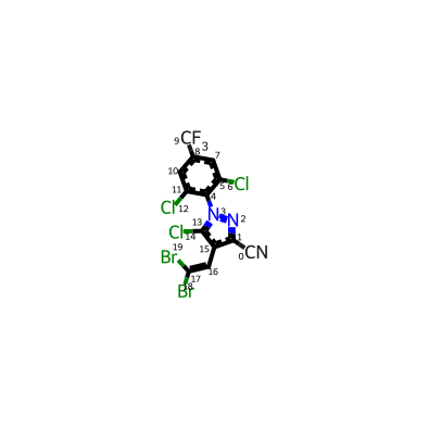 N#Cc1nn(-c2c(Cl)cc(C(F)(F)F)cc2Cl)c(Cl)c1C=C(Br)Br